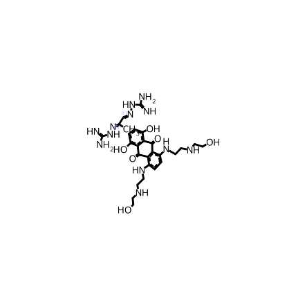 CC(/C=N/NC(=N)N)=N\NC(=N)N.O=C1c2c(O)ccc(O)c2C(=O)c2c(NCCNCCO)ccc(NCCNCCO)c21